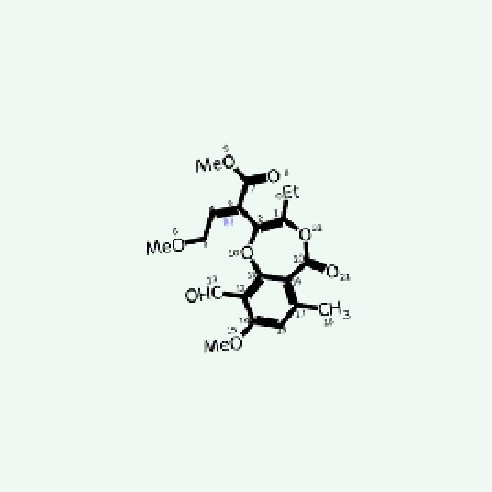 CCC1=C(/C(=C\COC)C(=O)OC)Oc2c(C=O)c(OC)cc(C)c2C(=O)O1